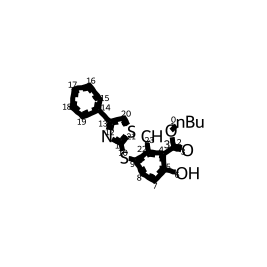 CCCCOC(=O)c1c(O)ccc(Sc2nc(-c3ccccc3)cs2)c1C